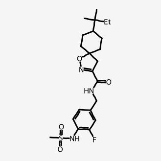 CCC(C)(C)C1CCC2(CC1)CC(C(=O)NCc1ccc(NS(C)(=O)=O)c(F)c1)=NO2